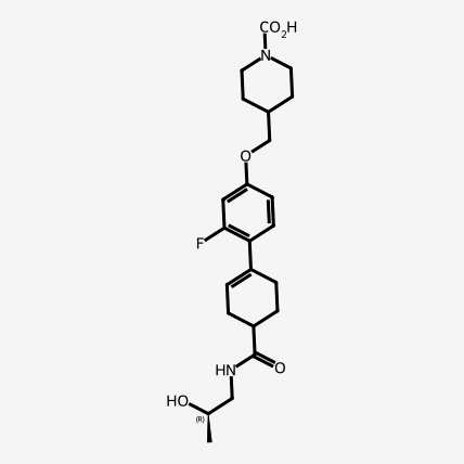 C[C@@H](O)CNC(=O)C1CC=C(c2ccc(OCC3CCN(C(=O)O)CC3)cc2F)CC1